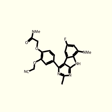 CNC(=O)COc1ccc(-c2nc(C)nc3[nH]c4c(NC)cc(F)cc4c23)cc1OCC#N